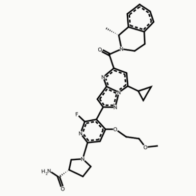 COCCOc1cc(N2CC[C@H](C(N)=O)C2)nc(F)c1-c1cc2nc(C(=O)N3CCc4ccccc4[C@H]3C)cc(C3CC3)n2n1